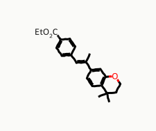 CCOC(=O)c1ccc(C=C(C)c2ccc3c(c2)OCCC3(C)C)cc1